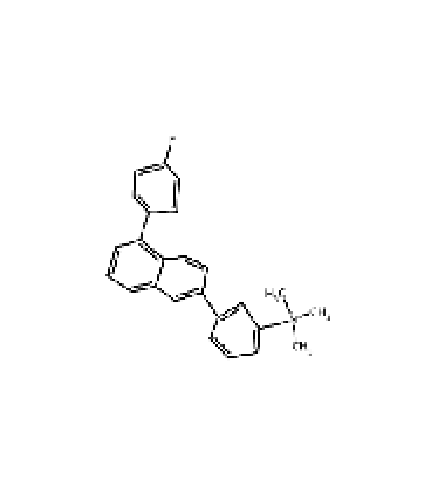 C[N+](C)(C)c1cccc(-c2ccc3c(-c4ccc(F)cc4)cccc3c2)c1